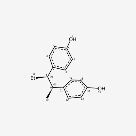 CC[C@@H](c1ccc(O)cc1)[C@H](C)c1ccc(O)cc1